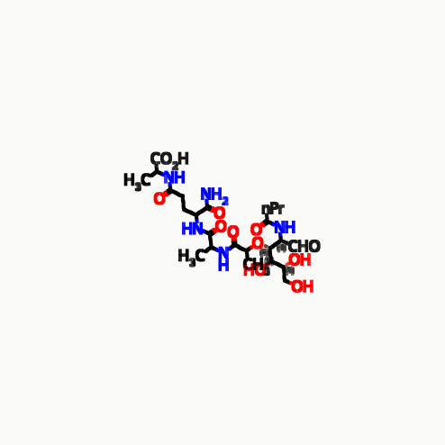 CCCC(=O)N[C@@H](C=O)[C@@H](OC(C)C(=O)NC(C)C(=O)NC(CCC(=O)NC(C)C(=O)O)C(N)=O)[C@H](O)[C@H](O)CO